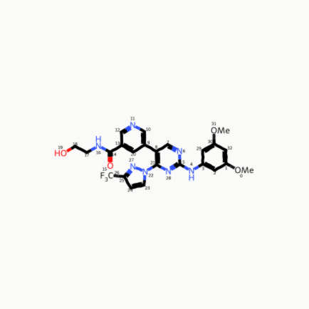 COc1cc(Nc2ncc(-c3cncc(C(=O)NCCO)c3)c(-n3ccc(C(F)(F)F)n3)n2)cc(OC)c1